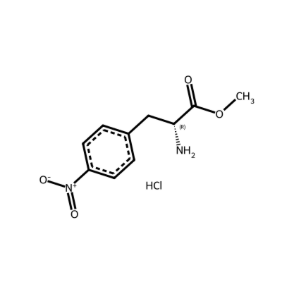 COC(=O)[C@H](N)Cc1ccc([N+](=O)[O-])cc1.Cl